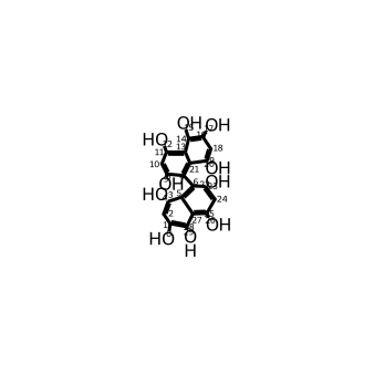 Oc1cc(O)c2c(-c3c(O)cc(O)c4c(O)c(O)cc(O)c34)c(O)cc(O)c2c1O